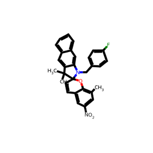 Cc1cc([N+](=O)[O-])cc2c1OC1(C=C2)N(Cc2ccc(F)cc2)c2cc3ccccc3cc2C1(C)C